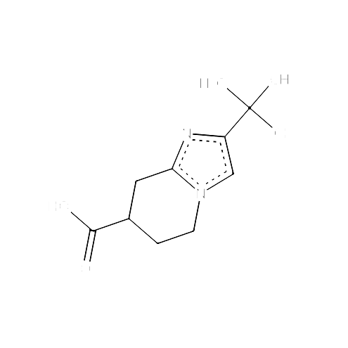 CC(C)(C)c1cn2c(n1)CC(C(=O)O)CC2